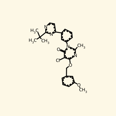 COc1cccc(COc2nc(C)n(-c3cccc(-c4ccnc(C(C)(C)C)n4)c3)c(=O)c2Cl)c1